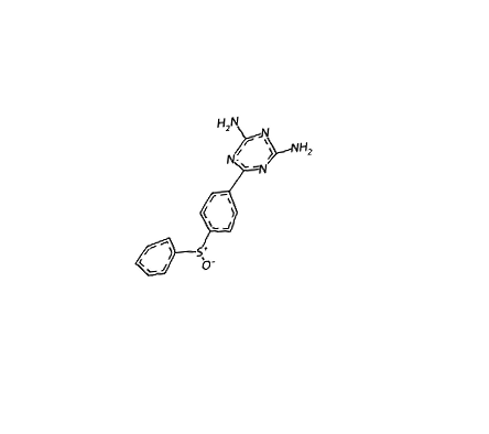 Nc1nc(N)nc(-c2ccc([S+]([O-])c3ccccc3)cc2)n1